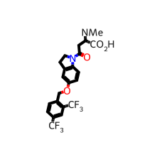 CNC(CC(=O)N1CCc2cc(OCc3ccc(C(F)(F)F)cc3C(F)(F)F)ccc21)C(=O)O